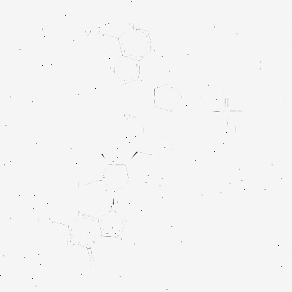 CNc1ncnc2c1ncn2[C@@H]1O[C@H](COP(C)(=O)O)[C@H](OP(=O)(O)OC[C@H]2O[C@@H](n3cnc4c(=O)[nH]c(N)nc43)C(O)[C@H]2O)C1OC